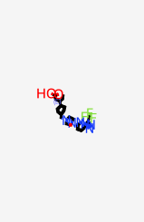 CC/C(=C\C(=O)O)c1ccc(CN2CCN(c3ccc4nnc(C(F)(F)F)n4n3)CC2)cc1